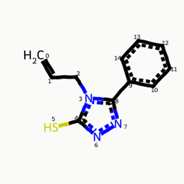 C=CCn1c(S)nnc1-c1ccccc1